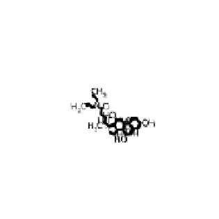 C=CCN(CC=C)C(=O)CC[C@@H](C)[C@H]1CC[C@H]2[C@@H]3[C@H](O)C[C@@H]4C[C@H](O)CC[C@]4(C)[C@H]3C[C@H](O)[C@]12C